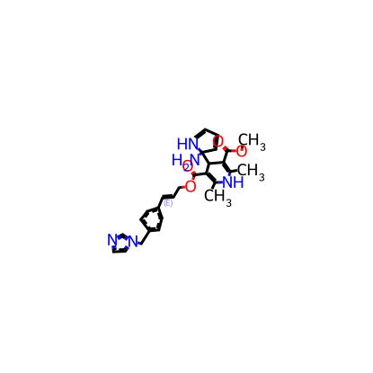 COC(=O)C1=C(C)NC(C)=C(C(=O)OC/C=C/c2ccc(Cn3ccnc3)cc2)C1C1(N)C=CC=CN1